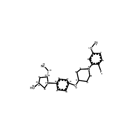 CCOc1ccc(F)c(N2CCC(Oc3ccc(N4C[C@@H](O)C[C@@H]4CC#N)cc3)CC2)c1